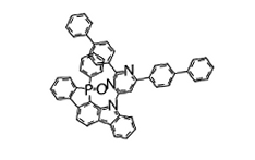 O=P1(c2ccccc2)c2ccccc2-c2ccc3c4ccccc4n(-c4cc(-c5ccc(-c6ccccc6)cc5)nc(-c5ccc(-c6ccccc6)cc5)n4)c3c21